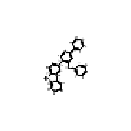 c1ccc(Nc2cc(-c3ccccc3)ccc2-c2ccc3[nH]c4ccccc4c3c2)cc1